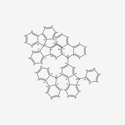 c1ccc(-c2ccccc2N(c2ccc3c(c2)-c2ccccc2C3(c2ccccc2)c2ccccc2)c2cc(-n3c4ccccc4c4ccccc43)c3c4ccccc4n(-c4ccccc4)c3c2)cc1